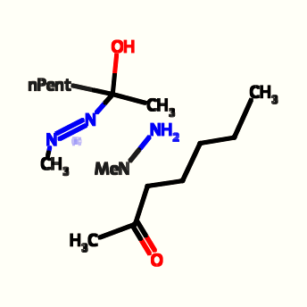 CCCCCC(C)(O)/N=N/C.CCCCCC(C)=O.CNN